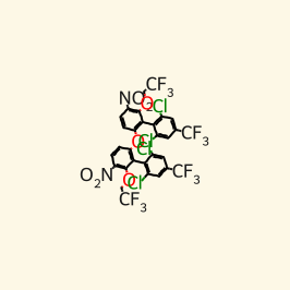 O=[N+]([O-])c1ccc(Oc2ccc([N+](=O)[O-])c(OCC(F)(F)F)c2-c2c(Cl)cc(C(F)(F)F)cc2Cl)c(-c2c(Cl)cc(C(F)(F)F)cc2Cl)c1OCC(F)(F)F